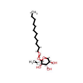 CCCCCCCCCCCCOO[C@@]1(CC)OC[C@@H](O)[C@H](O)[C@H]1O